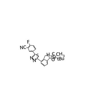 CC(C)(C)[Si](C)(C)OC1CCc2c(-c3nnc(-c4ccc(F)c(C#N)c4)s3)cccc21